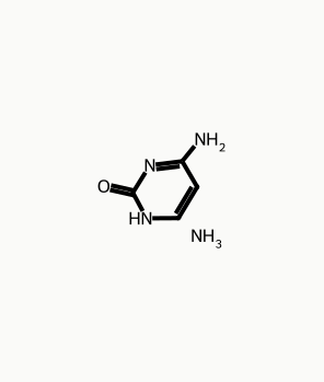 N.Nc1cc[nH]c(=O)n1